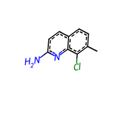 Cc1ccc2ccc(N)nc2c1Cl